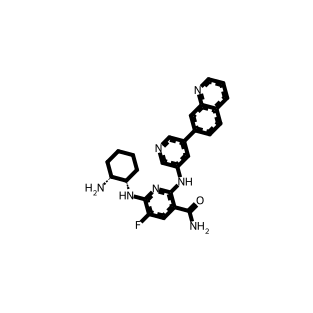 NC(=O)c1cc(F)c(N[C@H]2CCCC[C@H]2N)nc1Nc1cncc(-c2ccc3cccnc3c2)c1